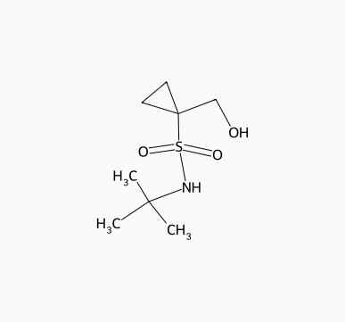 CC(C)(C)NS(=O)(=O)C1(CO)CC1